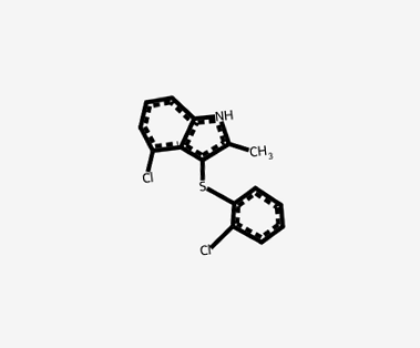 Cc1[nH]c2cccc(Cl)c2c1Sc1ccccc1Cl